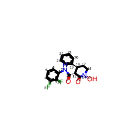 O=C(Nc1cccc(F)c1F)[C@H]1C(=O)N(O)CC[C@@H]1c1ccccc1